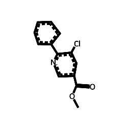 COC(=O)c1cnc(-c2ccccc2)c(Cl)c1